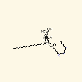 CCCCC/C=C\C/C=C\C/C=C\CCCCC(=O)OC[C@H](COP(=O)(O)OC[C@@H](O)CO)OC(=O)CCCCCCCCCCCCCCCCCC